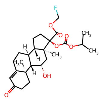 CC(C)OC(=O)O[C@]1(C(=O)OCF)CC[C@H]2[C@@H]3CCC4=CC(=O)CC[C@]4(C)[C@H]3[C@@H](O)C[C@@]21C